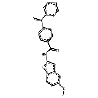 COc1ccc2nc(NC(=O)c3ccc(C(=O)c4ccncc4)cc3)sc2c1